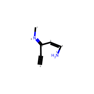 C#CC(/C=C\N)=N/C